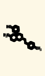 Cc1ccc(CCN2CCC3(c4cccc(O)c4)CC(C)CCC3C2)cc1